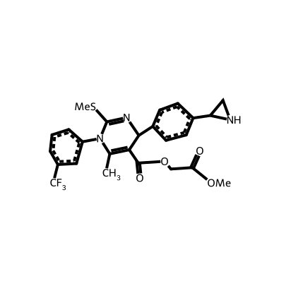 COC(=O)COC(=O)C1=C(C)N(c2cccc(C(F)(F)F)c2)C(SC)=NC1c1ccc(C2CN2)cc1